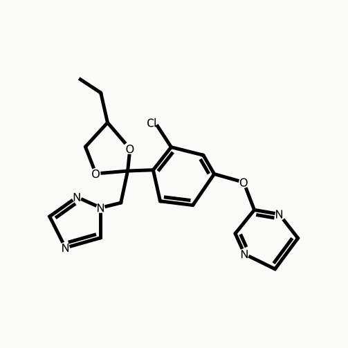 CCC1COC(Cn2cncn2)(c2ccc(Oc3cnccn3)cc2Cl)O1